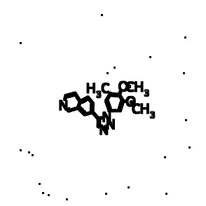 COc1cc(-n2nncc2-c2ccc3ccncc3c2)cc(C)c1OC